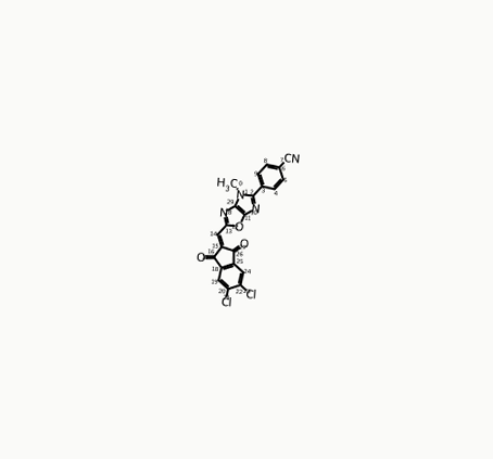 Cn1c(-c2ccc(C#N)cc2)nc2oc(C=C3C(=O)c4cc(Cl)c(Cl)cc4C3=O)nc21